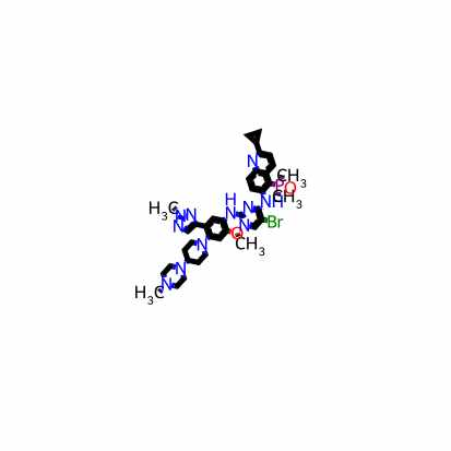 COc1cc(N2CCC(N3CCN(C)CC3)CC2)c(-c2cnn(C)n2)cc1Nc1ncc(Br)c(Nc2ccc3nc(C4CC4)ccc3c2P(C)(C)=O)n1